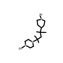 CCN1CCN(C(C)(C)CC(C)(C)C2CCN(C(C)C)CC2)CC1